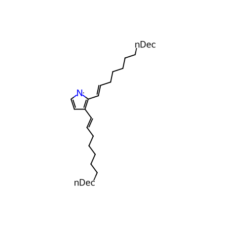 CCCCCCCCCCCCCCC/C=C/C1=C(/C=C/CCCCCCCCCCCCCCC)[N]C=C1